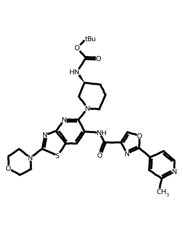 Cc1cc(-c2nc(C(=O)Nc3cc4sc(N5CCOCC5)nc4nc3N3CCC[C@H](NC(=O)OC(C)(C)C)C3)co2)ccn1